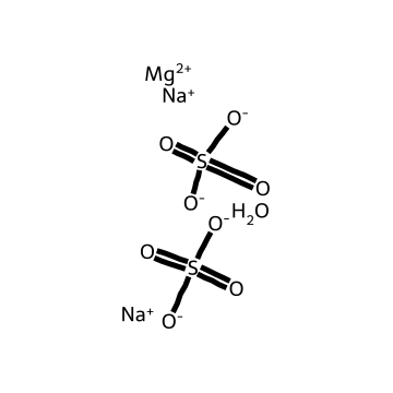 O.O=S(=O)([O-])[O-].O=S(=O)([O-])[O-].[Mg+2].[Na+].[Na+]